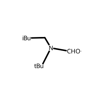 CCC(C)CN([C]=O)C(C)(C)C